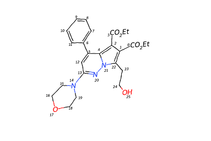 CCOC(=O)c1c(C(=O)OCC)c2c(-c3ccccc3)cc(N3CCOCC3)nn2c1CCO